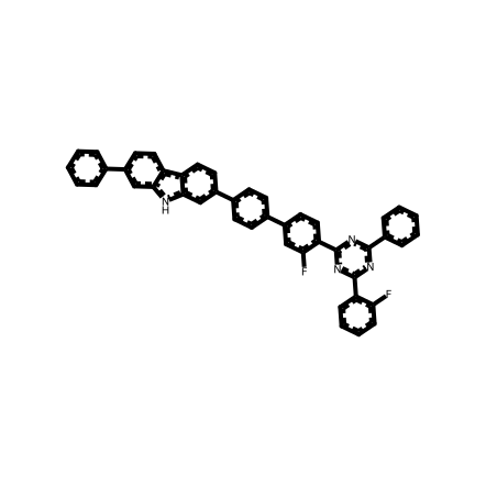 Fc1ccccc1-c1nc(-c2ccccc2)nc(-c2ccc(-c3ccc(-c4ccc5c(c4)[nH]c4cc(-c6ccccc6)ccc45)cc3)cc2F)n1